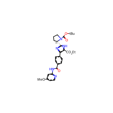 CCOC(=O)c1[nH]c([C@@H]2CCCN2C(=O)OC(C)(C)C)nc1-c1ccc(C(=O)Nc2cc(OC)ccn2)cc1